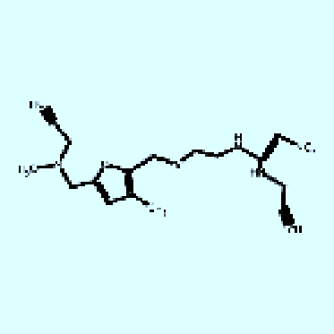 C#CCNC(=C[N+](=O)[O-])NCCSCc1oc(CN(C)CC#C)cc1C